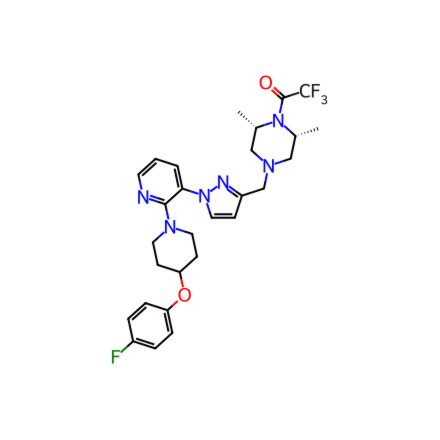 C[C@@H]1CN(Cc2ccn(-c3cccnc3N3CCC(Oc4ccc(F)cc4)CC3)n2)C[C@H](C)N1C(=O)C(F)(F)F